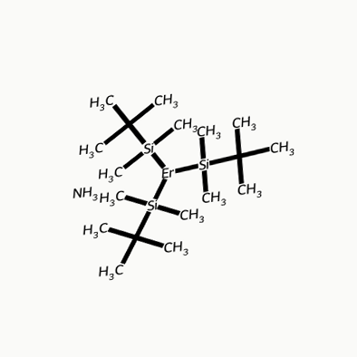 CC(C)(C)[Si](C)(C)[Er]([Si](C)(C)C(C)(C)C)[Si](C)(C)C(C)(C)C.N